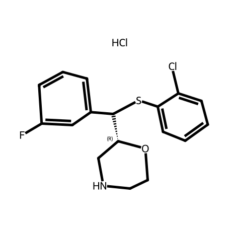 Cl.Fc1cccc(C(Sc2ccccc2Cl)[C@H]2CNCCO2)c1